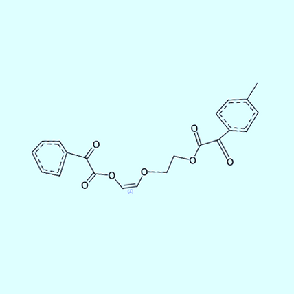 Cc1ccc(C(=O)C(=O)OCCO/C=C\OC(=O)C(=O)c2ccccc2)cc1